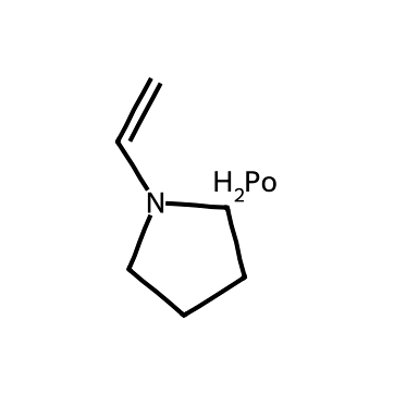 C=CN1CCCC1.[PoH2]